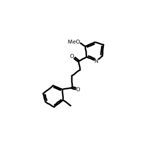 COc1cccnc1C(=O)CCC(=O)c1ccccc1C